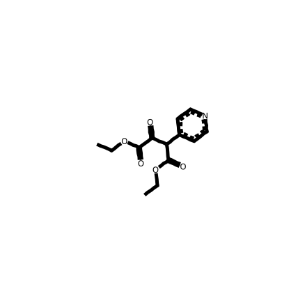 CCOC(=O)C(=O)C(C(=O)OCC)c1ccncc1